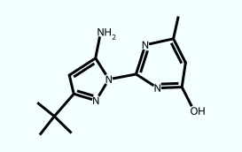 Cc1cc(O)nc(-n2nc(C(C)(C)C)cc2N)n1